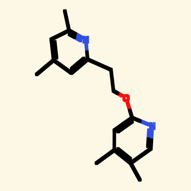 Cc1cc(C)nc(CCOc2cc(C)c(C)cn2)c1